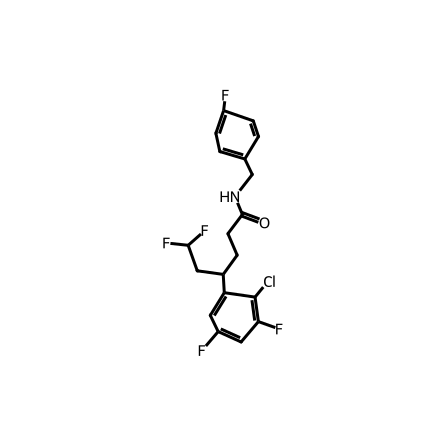 O=C(CCC(CC(F)F)c1cc(F)cc(F)c1Cl)NCc1ccc(F)cc1